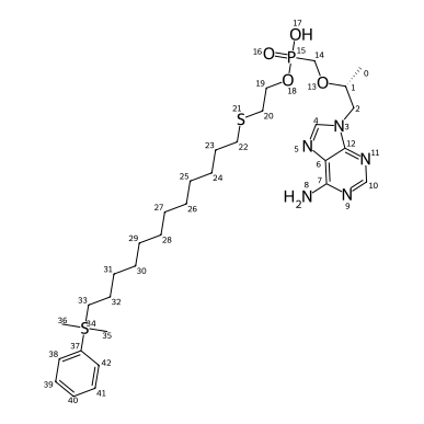 C[C@H](Cn1cnc2c(N)ncnc21)OCP(=O)(O)OCCSCCCCCCCCCCCCS(C)(C)c1ccccc1